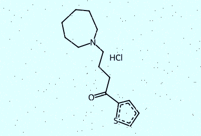 Cl.O=C(CCCN1CCCCCC1)c1cccs1